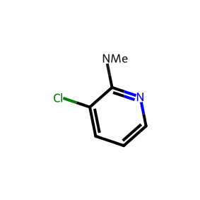 CNc1ncccc1Cl